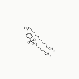 CCCCCCCCCCCC.CCCCCOOS(=O)(=O)c1ccccc1